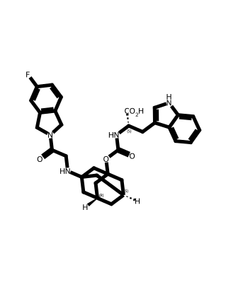 O=C(N[C@@H](Cc1c[nH]c2ccccc12)C(=O)O)OC12C[C@@H]3C[C@@H](CC(NCC(=O)N4Cc5ccc(F)cc5C4)(C3)C1)C2